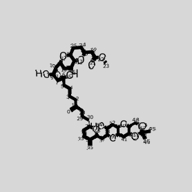 C=C(CCCCC12CC(O)C(O1)C1C[C@@H](O2)C2OC(CC(=O)OC)CCC2O1)CCC[C@H]1CCC(=C)C(CC2OC3CC4OC(C)(C)OCC4OC3CC2O)O1